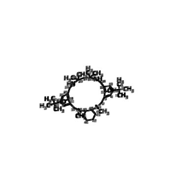 CN1Cc2cc(C(C)(C)C)cc(c2O)CNC(C)(C)CC(C)(C)NCc2cc(C(C)(C)C)cc(c2O)CN(C)C2CCCCC21